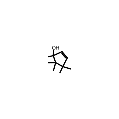 CC1(C)C=CC(C)(O)C1(C)C